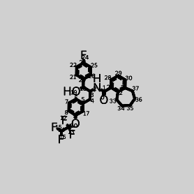 O=C(NC(Cc1cccc(OC(F)(F)C(F)F)c1)C(O)c1ccc(F)cc1)c1cccc2c1CCCCC2